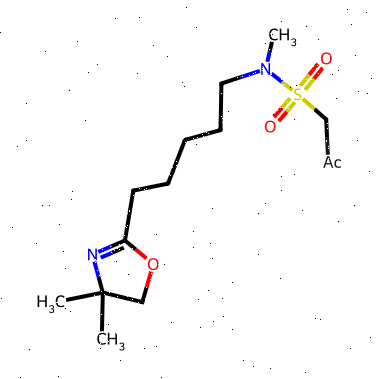 CC(=O)CS(=O)(=O)N(C)CCCCCC1=NC(C)(C)CO1